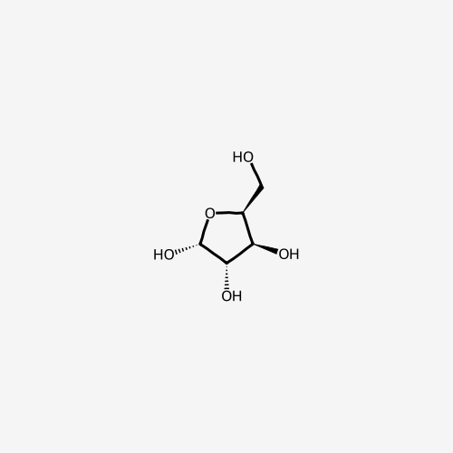 OC[C@@H]1O[C@@H](O)[C@@H](O)[C@@H]1O